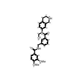 COc1ccc(C(=O)NCc2cccc(C(=O)N(CC(F)(F)F)c3ccc4c(c3)CNCC4)c2)cc1OC